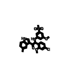 COc1cc(NC(C(=O)c2c[nH]c3ccc(C)cc23)c2ccc(Cl)cc2OC)cc(S(C)(=O)=O)c1